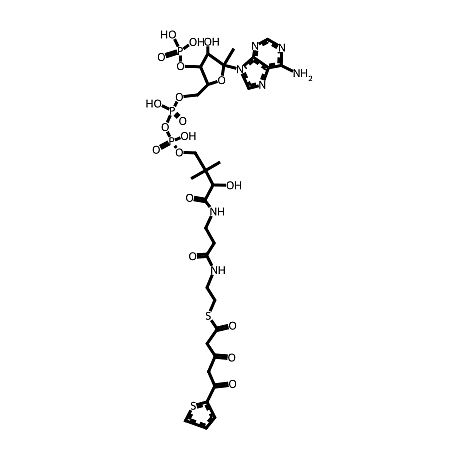 CC(C)(COP(=O)(O)OP(=O)(O)OCC1OC(C)(n2cnc3c(N)ncnc32)C(O)C1OP(=O)(O)O)C(O)C(=O)NCCC(=O)NCCSC(=O)CC(=O)CC(=O)c1cccs1